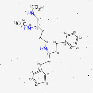 O=C(O)NC[C@H](CCCNC(CCc1ccccc1)CCc1ccccc1)NC(=O)O